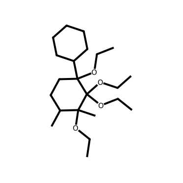 CCOC1(C)C(C)CCC(OCC)(C2CCCCC2)C1(OCC)OCC